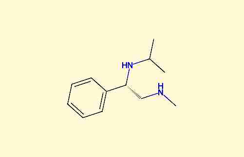 CNC[C@@H](NC(C)C)c1ccccc1